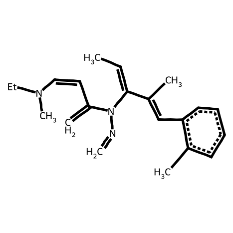 C=NN(C(=C)/C=C\N(C)CC)C(=C\C)/C(C)=C/c1ccccc1C